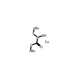 CCCCOC(=O)N(S)SCCCC.[Cu]